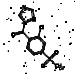 CS(=O)(=O)c1ccc(C(=O)n2cncn2)c(Cl)c1